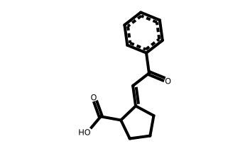 O=C(C=C1CCCC1C(=O)O)c1ccccc1